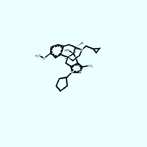 COc1ccc2c(c1)[C@]13CCN(CC4CC4)[C@H](C2)[C@]1(O)Cc1c(C)nn(C2CCCC2)c1C3